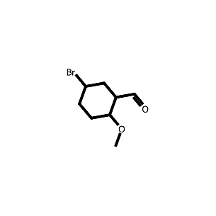 COC1CCC(Br)CC1C=O